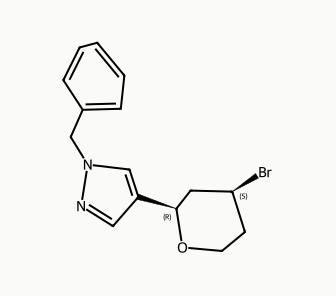 Br[C@H]1CCO[C@@H](c2cnn(Cc3ccccc3)c2)C1